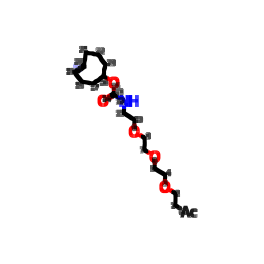 CC(=O)CCOCCOCCOCCNC(=O)OC1CC/C=C/CCC1